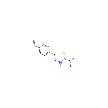 C=Cc1ccc(C=NN(C)C(=S)N(C)C)cc1